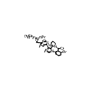 CCCN(CCC)Cc1nc(-c2ncn3c2[C@@H]2CCCN2C(=O)c2c(Br)cccc2-3)no1